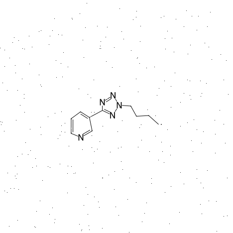 [CH2]CCCn1nnc(-c2cccnc2)n1